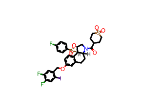 O=C(C1CCS(=O)(=O)CC1)N1CC[C@@]2(S(=O)(=O)c3ccc(F)cc3)c3ccc(OCc4cc(F)c(F)cc4I)cc3CC[C@@H]12